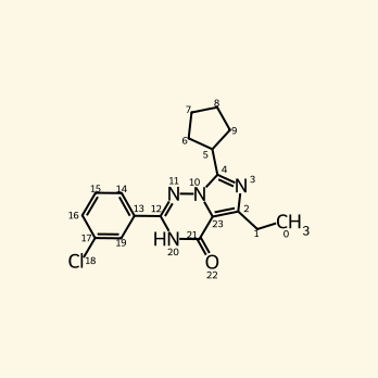 CCc1nc(C2CCCC2)n2nc(-c3cccc(Cl)c3)[nH]c(=O)c12